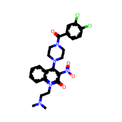 CN(C)CCn1c(=O)c([N+](=O)[O-])c(N2CCN(C(=O)c3ccc(Cl)c(Cl)c3)CC2)c2ccccc21